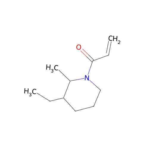 C=CC(=O)N1CCCC(CC)C1C